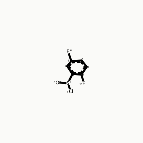 [O-][S+](Cl)c1cc(F)ccc1F